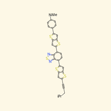 CNc1ccc(-c2cc3sc(-c4ccc(-c5cc6sc(C#CCC(C)C)cc6s5)c5nsnc45)cc3s2)cc1